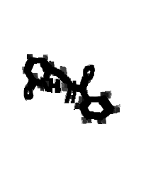 O=C(NCc1cccc(=O)[nH]1)c1ccccc1